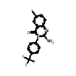 Nc1nc2ccc(I)cc2c(=O)n1-c1ccc(C(F)(F)F)cc1